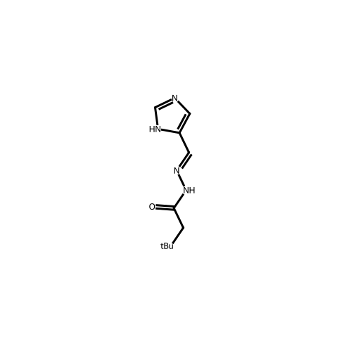 CC(C)(C)CC(=O)N/N=C/c1cnc[nH]1